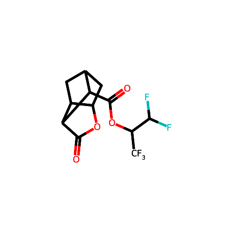 O=C(OC(C(F)F)C(F)(F)F)C1C2CC3OC(=O)C1C3C2